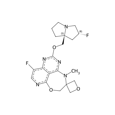 CN1c2nc(OC[C@@]34CCCN3C[C@H](F)C4)nc3c(F)cnc(c23)OCC12COC2